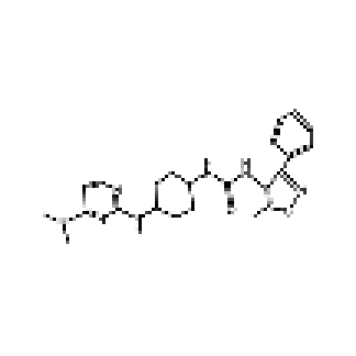 Cc1onc(-c2ccccc2)c1NC(=O)NC1CCC(Nc2nccc(N(C)C)n2)CC1